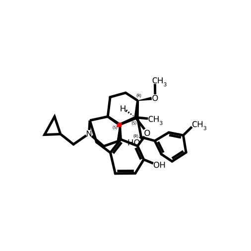 CO[C@]12CCC3(CC1(C)[C@H](O)c1cccc(C)c1)C1Cc4ccc(O)c5c4[C@@]3(CCN1CC1CC1)[C@@H]2O5